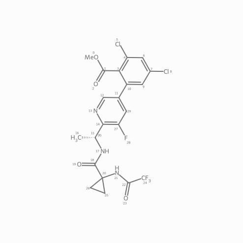 COC(=O)c1c(Cl)cc(Cl)cc1-c1cnc([C@@H](C)NC(=O)C2(NC(=O)C(F)(F)F)CC2)c(F)c1